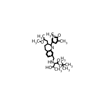 COC(C)CC1CCc2ccc(CN[C@H](C(=O)OC(C)(C)C)[C@@H](C)O)cc2N=C1c1cc(C)c(=O)n(C)c1